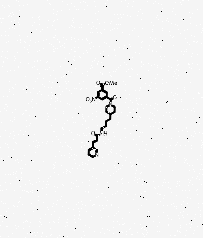 COC(=O)c1cc(C(=O)N2CCC(CCCCNC(=O)/C=C/c3cccnc3)CC2)cc([N+](=O)[O-])c1